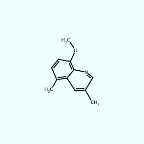 COc1ccc(C)c2cc(C)cnc12